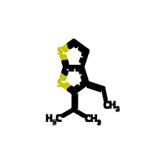 C/C=c1\c(=C(C)C)sc2sccc12